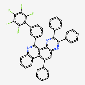 Fc1c(F)c(F)c(-c2cccc(-c3nc4ccccc4c4c(-c5ccccc5)cc5nc(-c6ccccc6)c(-c6ccccc6)nc5c34)c2)c(F)c1F